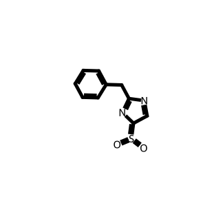 O=S(=O)=C1C=NC(Cc2ccccc2)=N1